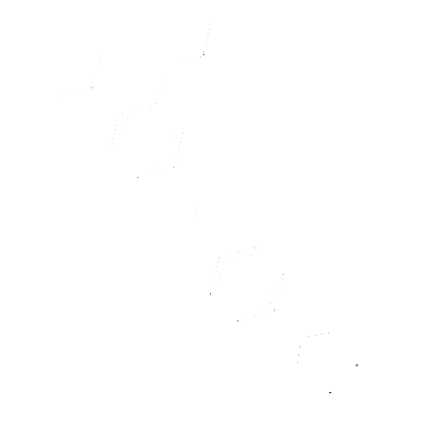 CC(=O)Oc1cc(COc2ccc(B3OC(C)(C)C(C)(C)O3)cc2)ccc1C(C)C